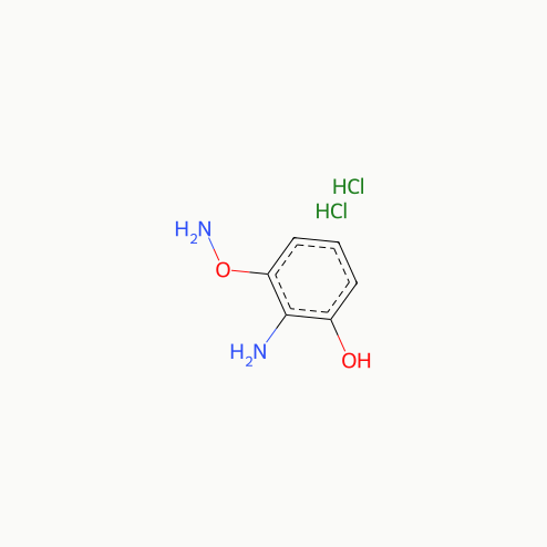 Cl.Cl.NOc1cccc(O)c1N